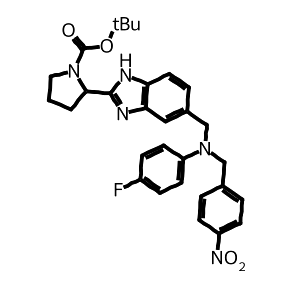 CC(C)(C)OC(=O)N1CCCC1c1nc2cc(CN(Cc3ccc([N+](=O)[O-])cc3)c3ccc(F)cc3)ccc2[nH]1